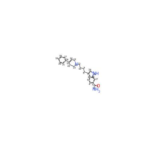 NC(=O)c1ccc2c(CCCCN3CC=C(c4ccccc4)CC3)c[nH]c2c1